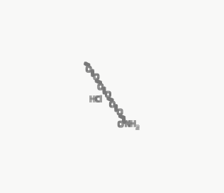 CCOCCOCCOCCOCCOCCOCCC(N)=O.Cl